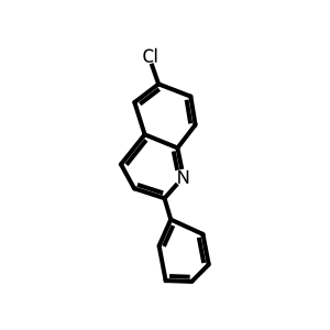 Clc1ccc2nc(-c3ccccc3)ccc2c1